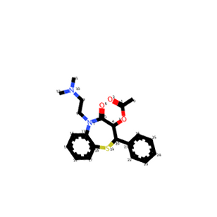 CC(=O)OC1C(=O)N(CCN(C)C)c2ccccc2SC1c1ccccc1